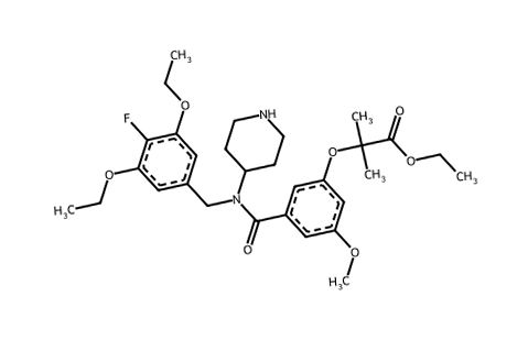 CCOC(=O)C(C)(C)Oc1cc(OC)cc(C(=O)N(Cc2cc(OCC)c(F)c(OCC)c2)C2CCNCC2)c1